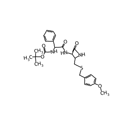 COc1ccc(CSCC2NC(=O)C2NC(=O)C(NC(=O)OC(C)(C)C)c2ccccc2)cc1